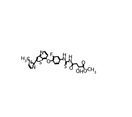 COC(=O)[C@H](O)CC(=O)NC(=S)Nc1ccc(Oc2ccnc3cc(-c4nccn4C)sc23)c(F)c1